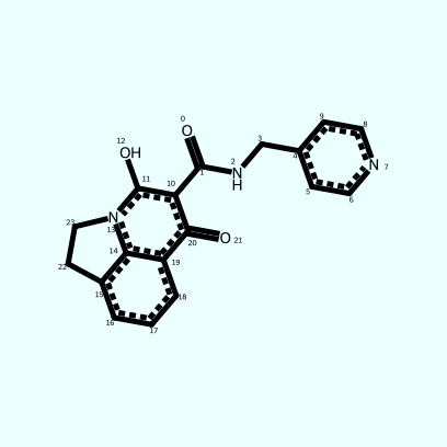 O=C(NCc1ccncc1)c1c(O)n2c3c(cccc3c1=O)CC2